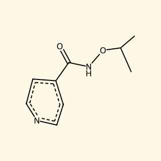 CC(C)ONC(=O)c1ccncc1